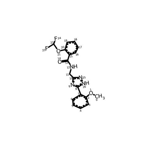 COc1ccccc1-c1nc(CNC(=O)c2ccccc2OC(F)F)n[nH]1